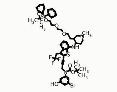 CN1CCC(Nc2cccc3c(CC(F)(F)F)c(C#CCN(C(=O)OC(C)(C)C)c4cc(O)cc(Br)c4)sc23)C(CCOCCOCCO[Si](c2ccccc2)(c2ccccc2)C(C)(C)C)C1